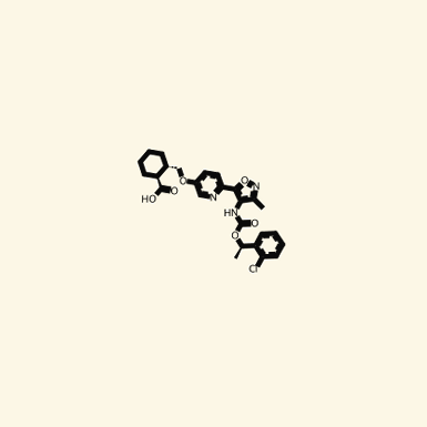 Cc1noc(-c2ccc(OC[C@H]3CCCC[C@@H]3C(=O)O)cn2)c1NC(=O)O[C@H](C)c1ccccc1Cl